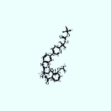 CC(C)(C)OC(=O)NC(C)(C)c1ncc(-c2ccc3nc4n(c3c2)[C@@H]2C[C@@]4(C)NC(=O)c3cccc(OC(F)F)c32)cn1